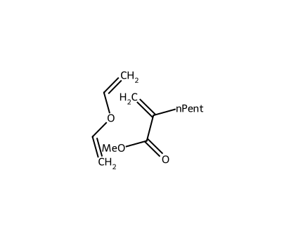 C=C(CCCCC)C(=O)OC.C=COC=C